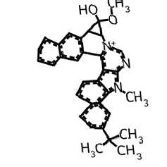 COC1(O)C2c3cc4ccccc4cc3-c3c4c5ccc6ccc(C(C)(C)C)cc6c5n(C)c4nc[n+]3C21